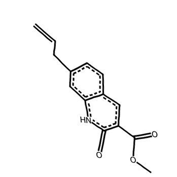 C=CCc1ccc2cc(C(=O)OC)c(=O)[nH]c2c1